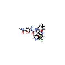 CNC(=O)[C@@H]1CC[C@@H](NC(=O)[C@@H]2NC3(CCC(C)(C)CC3)[C@@]3(C(=O)Nc4cc(Cl)ccc43)[C@H]2c2ccnc(Cl)c2F)CO1